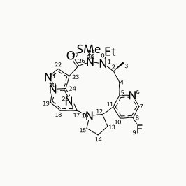 CCN1[C@@H](C)Cc2ncc(F)cc2C2CCCN2c2ccn3ncc(c3n2)C(=O)N1SC